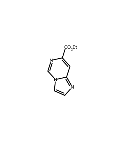 CCOC(=O)c1cc2nccn2cn1